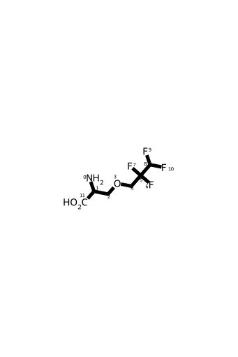 NC(COCC(F)(F)C(F)F)C(=O)O